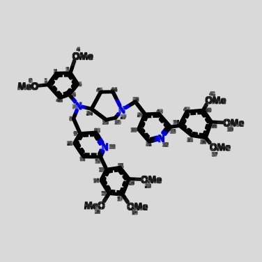 COc1cc(OC)cc(N(Cc2ccc(-c3cc(OC)c(OC)c(OC)c3)nc2)C2CCN(Cc3ccnc(-c4cc(OC)c(OC)c(OC)c4)c3)CC2)c1